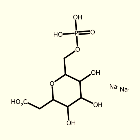 O=C(O)CC1OC(COP(=O)(O)O)C(O)C(O)C1O.[Na].[Na]